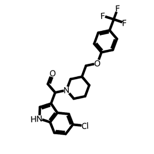 O=CC(c1c[nH]c2ccc(Cl)cc12)N1CCCC(COc2ccc(C(F)(F)F)cc2)C1